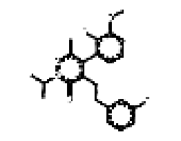 COc1cccc(-c2c(C)nn(C(C)C)c(=O)c2CCc2cccc(F)c2)c1F